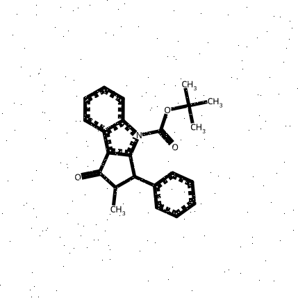 CC1C(=O)c2c(n(C(=O)OC(C)(C)C)c3ccccc23)C1c1ccccc1